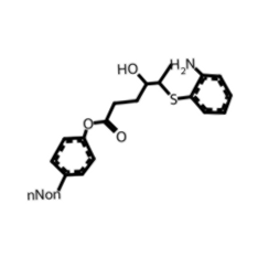 CCCCCCCCCc1ccc(OC(=O)CCC(O)C(C)Sc2ccccc2N)cc1